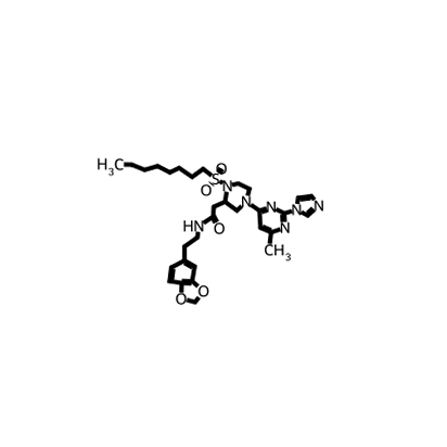 CCCCCCCCS(=O)(=O)N1CCN(c2cc(C)nc(-n3ccnc3)n2)CC1CC(=O)NCCc1ccc2c(c1)OCO2